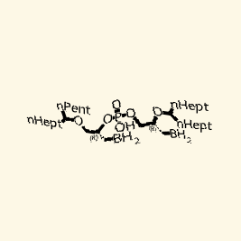 BC[C@H](COP(=O)(O)O[C@H](CB)COC(CCCCC)CCCCCCC)OC(CCCCCCC)CCCCCCC